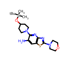 CC(C)(C)[Si](C)(C)OC1CCN(c2nc3nc(N4CCOCC4)sc3cc2N)CC1